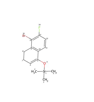 C[Si](C)(C)OC1=CCCc2c1ccc(F)c2Br